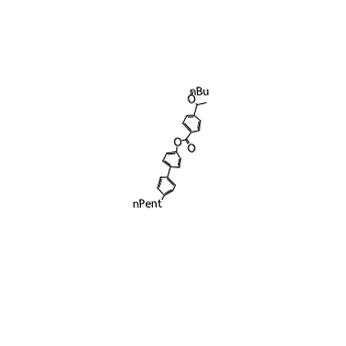 CCCCCc1ccc(-c2ccc(OC(=O)c3ccc(C(C)OCCCC)cc3)cc2)cc1